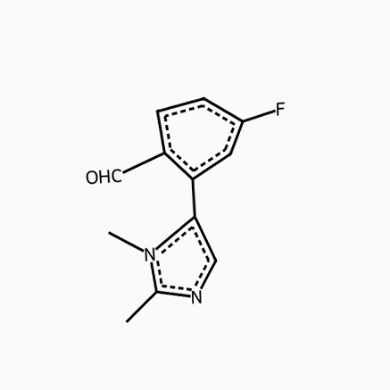 Cc1ncc(-c2cc(F)ccc2C=O)n1C